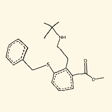 COC(=O)c1cccc(SCc2ccccc2)c1CCNC(C)(C)C